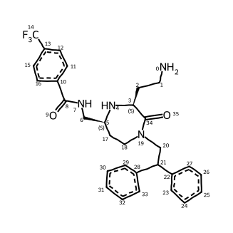 NCC[C@@H]1N[C@H](CNC(=O)c2ccc(C(F)(F)F)cc2)CCN(CC(c2ccccc2)c2ccccc2)C1=O